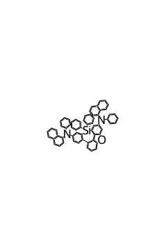 c1ccc(N(c2ccc3c(c2)[Si](c2ccccc2)(c2ccccc2)c2cc(N(c4ccccc4)c4cccc5ccccc45)cc4oc5cccc-3c5c24)c2cccc3ccccc23)cc1